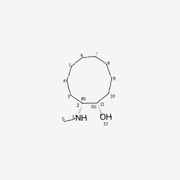 CN[C@@H]1CCCCCCCC[C@@H]1O